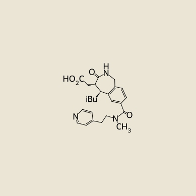 CCC(C)[C@@H]1c2cc(C(=O)N(C)CCc3ccncc3)ccc2CNC(=O)[C@@H]1CC(=O)O